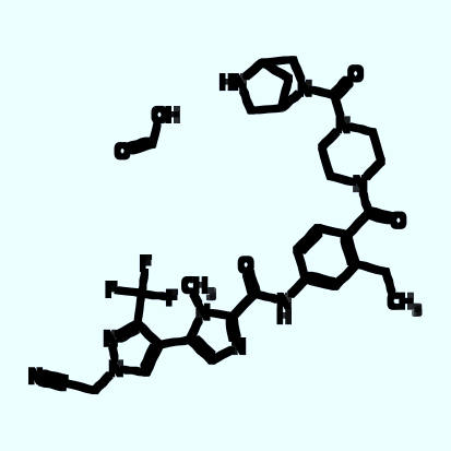 CCc1cc(NC(=O)c2ncc(-c3cn(CC#N)nc3C(F)(F)F)n2C)ccc1C(=O)N1CCN(C(=O)N2CC3CC2CN3)CC1.O=CO